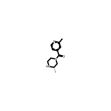 Cc1cc(C(=O)N2CCN[C@@H](C)C2)ccn1